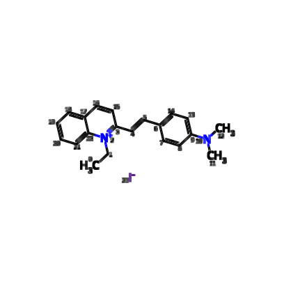 CC[n+]1c(/C=C/c2ccc(N(C)C)cc2)ccc2ccccc21.[I-]